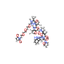 CC[C@H](C)[C@@H]([C@@H](CC(=O)N1CCC[C@H]1[C@H](OC)[C@@H](C)C(=O)N[C@@H](Cc1c[nH]c2ccccc12)C(=O)N1CCCCO1)OC)N(C)C(=O)[C@@H](NC(=O)[C@H](C(C)C)N(C)CCOCCOCCOCCN1C(=O)C=CC1=O)C(C)C